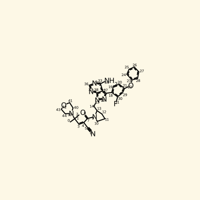 CC(C)(/C=C(/C#N)C(=O)N1CCCC1Cn1nc(-c2ccc(Oc3ccccc3)cc2F)c2c(N)ncnc21)N1CCOCC1